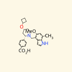 COc1cc(C)c2[nH]ccc2c1CN1CC[C@@H](OC2CCC2)C[C@H]1c1ccc(C(=O)O)cc1